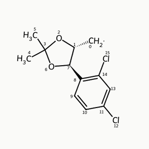 [CH2][C@H]1OC(C)(C)O[C@@H]1c1ccc(Cl)cc1Cl